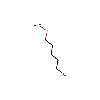 COOCCCCCC(C)=O